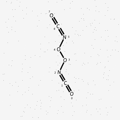 O=C=NOON=C=O